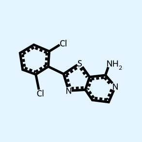 Nc1nccc2nc(-c3c(Cl)cccc3Cl)sc12